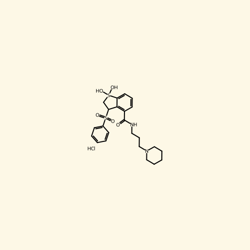 Cl.O=C(NCCCN1CCCCC1)c1cccc2c1C(S(=O)(=O)c1ccccc1)CS2(O)O